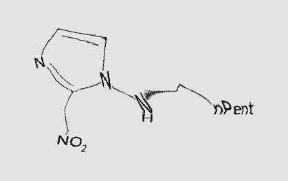 CCCCCCNn1ccnc1[N+](=O)[O-]